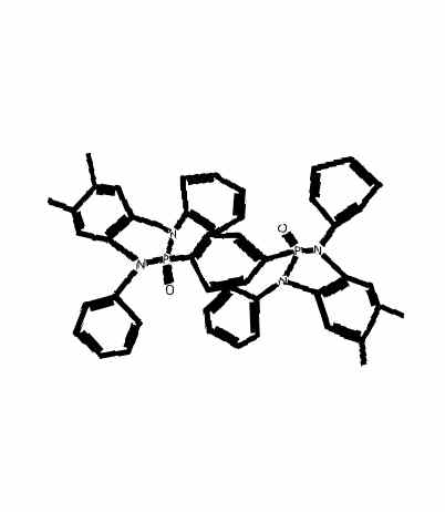 Cc1cc2c(cc1C)N(c1ccccc1)P(=O)(c1ccc(P3(=O)N(c4ccccc4)c4cc(C)c(C)cc4N3c3ccccc3)cc1)N2c1ccccc1